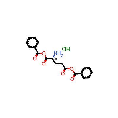 Cl.N[C@@H](CCC(=O)OC(=O)c1ccccc1)C(=O)OC(=O)c1ccccc1